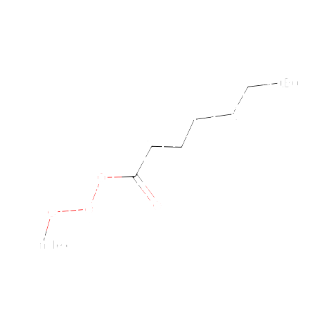 CCCCCCOOOC(=O)CCCCCC(C)(C)C